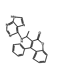 CC(Nc1ncnc2[nH]cnc12)c1c(-c2ccccc2)c2ccccc2oc1=O